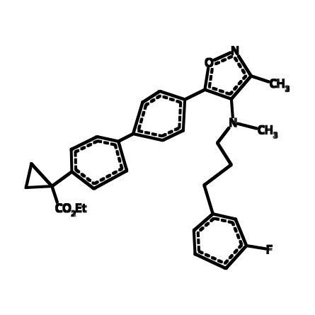 CCOC(=O)C1(c2ccc(-c3ccc(-c4onc(C)c4N(C)CCCc4cccc(F)c4)cc3)cc2)CC1